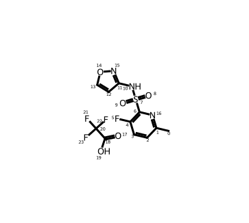 Cc1ccc(F)c(S(=O)(=O)Nc2ccon2)n1.O=C(O)C(F)(F)F